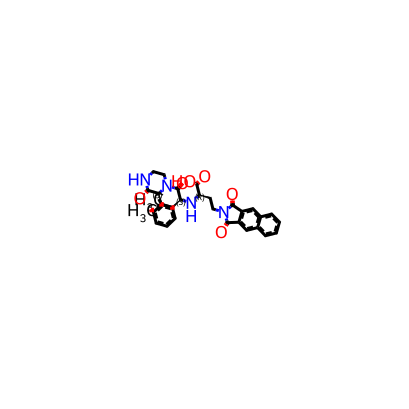 CC(C)C[C@H](N[C@H](CCN1C(=O)c2cc3ccccc3cc2C1=O)C(=O)O)C(=O)N1CCNC(=O)[C@@H]1c1ccccc1